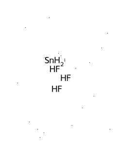 F.F.F.[SnH2]